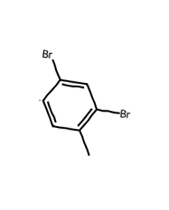 Cc1c[c]c(Br)cc1Br